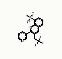 CS(=O)(=O)c1cccc2cc(CC(F)(F)F)c(-c3cccnc3)nc12